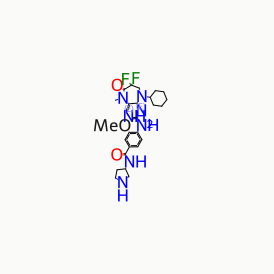 C=C(/N=C1\C(=C/N)N(C)C(=O)C(F)(F)CN1C1CCCCC1)Nc1ccc(C(=O)NC2CCNC2)cc1OC